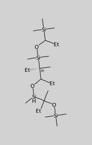 CCC(O[SiH](C)C(C)(CC)O[Si](C)(C)C)[C@@](C)(CC)[Si](C)(C)OC(CC)[Si](C)(C)C